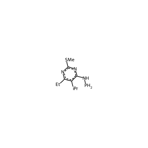 CCc1nc(SC)nc(NP)c1C(C)C